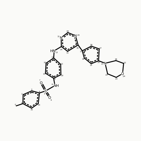 Cc1ccc(S(=O)(=O)Nc2ccc(Nc3cc(-c4ccc(N5CCOCC5)cc4)ncn3)cc2)cc1